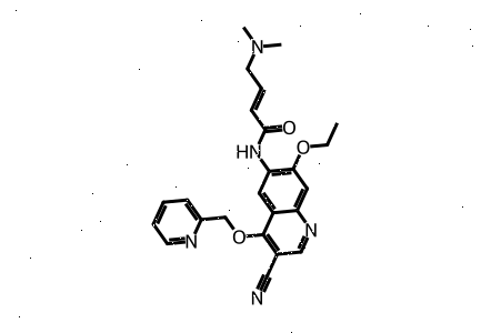 CCOc1cc2ncc(C#N)c(OCc3ccccn3)c2cc1NC(=O)/C=C/CN(C)C